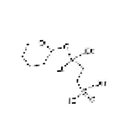 CCC(CC)(CCP(=O)(O)O)OC1CCCCO1